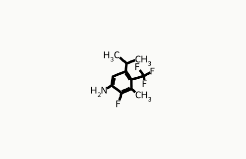 Cc1c(F)c(N)cc(C(C)C)c1C(F)(F)F